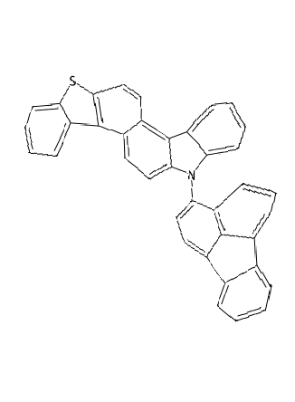 c1ccc2c(c1)-c1cccc3c(-n4c5ccccc5c5c6ccc7sc8ccccc8c7c6ccc54)ccc-2c13